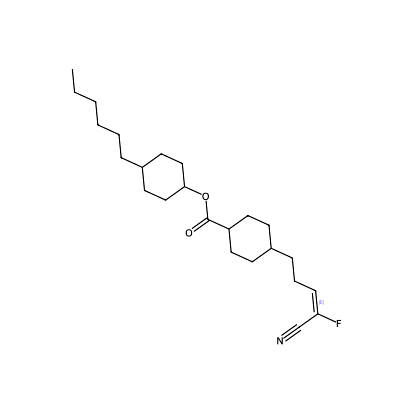 CCCCCCC1CCC(OC(=O)C2CCC(CC/C=C(/F)C#N)CC2)CC1